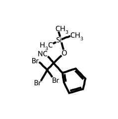 C[Si](C)(C)OC(C#N)(c1ccccc1)C(Br)(Br)Br